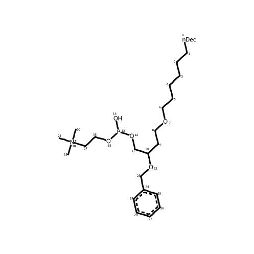 CCCCCCCCCCCCCCCCOCCC(COP(O)OCC[N+](C)(C)C)OCc1ccccc1